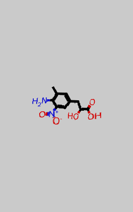 Cc1cc(CC(O)C(=O)O)cc([N+](=O)[O-])c1N